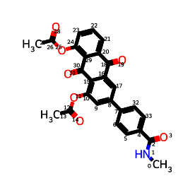 CNC(=O)c1ccc(-c2cc(OC(C)=O)c3c(c2)C(=O)c2cccc(OC(C)=O)c2C3=O)cc1